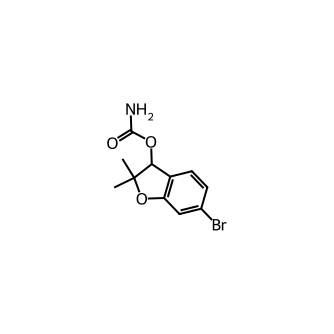 CC1(C)Oc2cc(Br)ccc2C1OC(N)=O